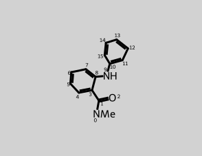 CNC(=O)c1ccccc1Nc1ccccc1